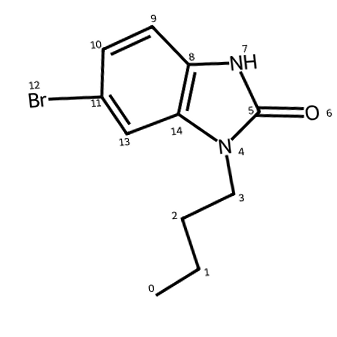 CCCCn1c(=O)[nH]c2ccc(Br)cc21